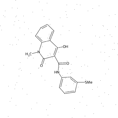 CSc1cccc(NC(=O)c2c(O)c3ccccc3n(C)c2=O)c1